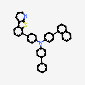 c1ccc(-c2ccc(N(c3ccc(-c4cccc5ccccc45)cc3)c3ccc(-c4cccc5c4sc4ncccc45)cc3)cc2)cc1